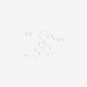 CCCC(N)N(c1nc(N(C)CNC)nc(N(C(N)CCC)C2CC(C)(C)NC(C)(C)C2)n1)C1CC(C)(C)NC(C)(C)C1